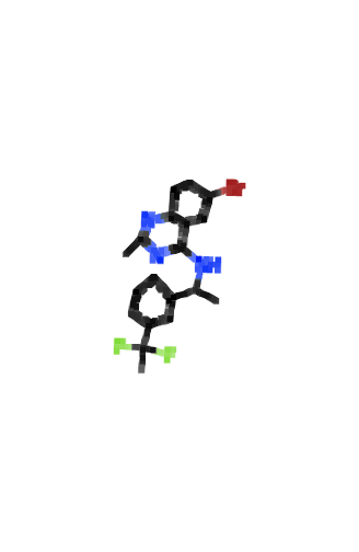 Cc1nc(NC(C)c2cccc(C(C)(F)F)c2)c2cc(Br)ccc2n1